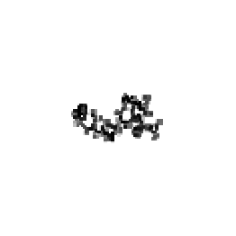 CC(=O)N1c2ccc(-c3cnn(CC4CCS(=O)(=O)CC4)c3)cc2N(C(=O)C2CC2)C[C@@H]1C